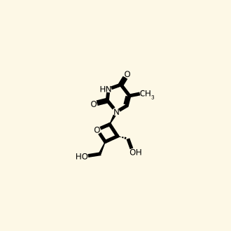 Cc1cn([C@@H]2O[C@H](CO)[C@H]2CO)c(=O)[nH]c1=O